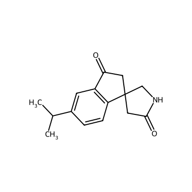 CC(C)c1ccc2c(c1)C(=O)CC21CNC(=O)C1